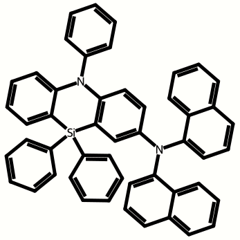 c1ccc(N2c3ccccc3[Si](c3ccccc3)(c3ccccc3)c3cc(N(c4cccc5ccccc45)c4cccc5ccccc45)ccc32)cc1